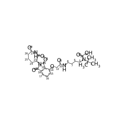 CC(C)(C)N(CCCCNC(=O)COc1cccc2c1C(=O)N([C@H]1CCCC(=O)NC1=O)C2=O)C(=O)O